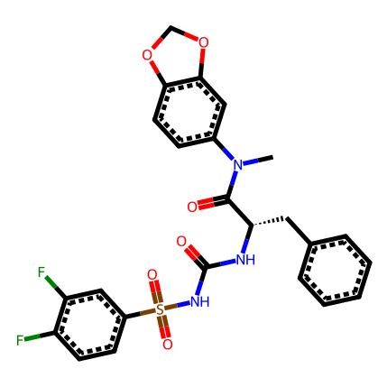 CN(C(=O)[C@H](Cc1ccccc1)NC(=O)NS(=O)(=O)c1ccc(F)c(F)c1)c1ccc2c(c1)OCO2